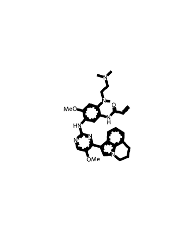 C=CC(=O)Nc1cc(Nc2ncc(OC)c(-c3cn4c5c(cccc35)CCC4)n2)c(OC)cc1N(C)CCN(C)C